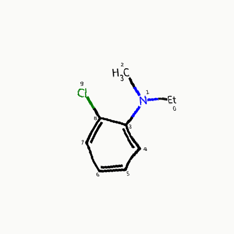 [CH2]CN(C)c1ccccc1Cl